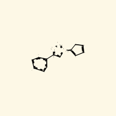 C1=CCC(n2cc(-c3ccccc3)nn2)=C1